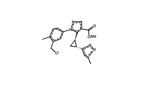 COC(=O)c1cnn(-c2ccc(C)c(CCl)c2)c1[C@@H]1C[C@H]1c1cn(C)nn1